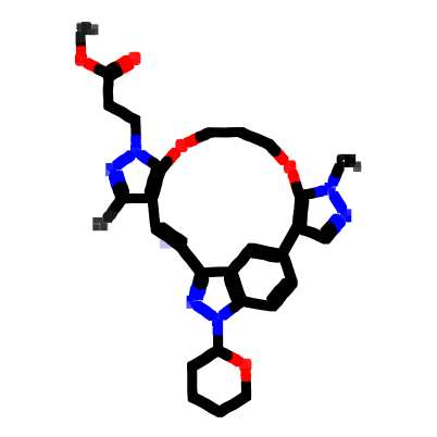 CCc1nn(CCC(=O)OC(C)(C)C)c2c1/C=C/c1nn(C3CCCCO3)c3ccc(cc13)-c1cnn(C)c1OCCCO2